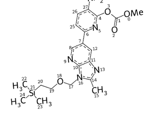 COC(=O)Oc1nc(-c2cnc3c(c2)nc(C)n3COCC[Si](C)(C)C)ccc1N